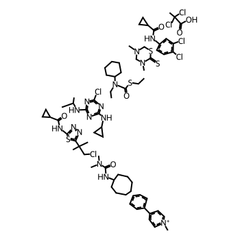 CC(C)(CCl)c1nnc(NC(=O)C2CC2)s1.CC(C)Nc1nc(Cl)nc(NC2CC2)n1.CC(Cl)(Cl)C(=O)O.CCSC(=O)N(CC)C1CCCCC1.CN(C)C(=O)NC1CCCCCCC1.CN1CSC(=S)N(C)C1.C[n+]1ccc(-c2ccccc2)cc1.O=C(Nc1ccc(Cl)c(Cl)c1)C1CC1